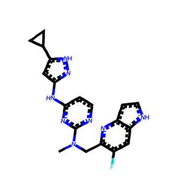 CN(Cc1nc2cc[nH]c2cc1F)c1nccc(Nc2cc(C3CC3)[nH]n2)n1